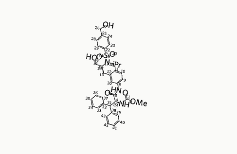 COC(=O)N[C@H](C(=O)Nc1cccc(C[C@@H](CO)N(C(C)C)S(=O)(=O)c2ccc(CO)cc2)c1)C(c1ccccc1)c1ccccc1